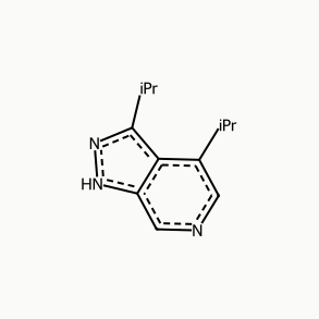 CC(C)c1cncc2[nH]nc(C(C)C)c12